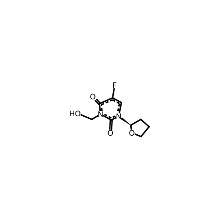 O=c1c(F)cn([C@H]2CCCO2)c(=O)n1CO